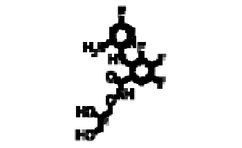 Bc1cc(F)cnc1Nc1c(C(=O)NOC[C@H](O)CO)cc(F)c(F)c1F